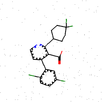 O=C(O)c1c(-c2cc(F)ccc2F)ccnc1C1CCC(F)(F)CC1